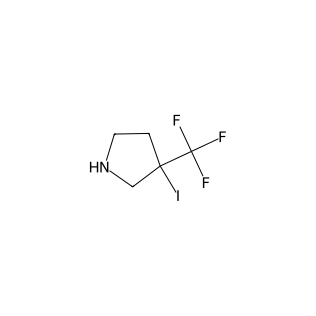 FC(F)(F)C1(I)CCNC1